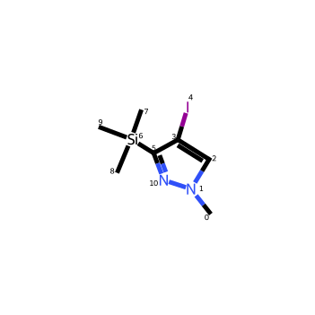 Cn1cc(I)c([Si](C)(C)C)n1